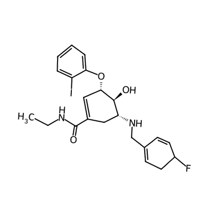 CCNC(=O)C1=C[C@H](Oc2ccccc2I)[C@@H](O)[C@H](NCC2=CCC(F)C=C2)C1